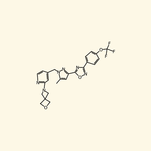 Cc1cc(-c2nc(-c3ccc(OC(F)(F)F)cc3)no2)nn1Cc1ccnc(N2CC3(COC3)C2)c1